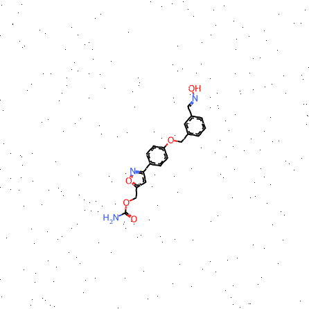 NC(=O)OCc1cc(-c2ccc(OCc3cccc(C=NO)c3)cc2)no1